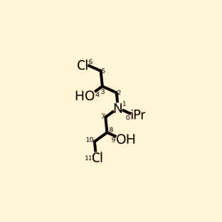 CC(C)N(CC(O)CCl)CC(O)CCl